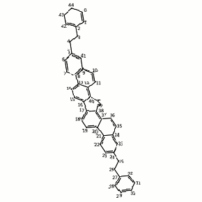 C1=CC(CCc2ccc3c(ccc4c3ccc3c5ccc6c7ccc(CCc8ccccc8)cc7ccc6c5sc43)c2)=CCC1